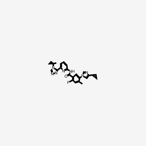 Cc1cc(F)c(C(=O)Nc2cccc(-c3nncn3C3(C)CC3)n2)cc1-n1cnc(C2CC2)c1